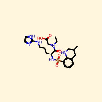 CCN(CC(=O)O)C(=O)[C@H](CCCNc1ncc[nH]1)NS(=O)(=O)c1cccc2c1NCC(C)C2